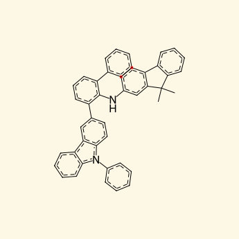 CC1(C)c2ccccc2-c2ccc(Nc3c(-c4ccccc4)cccc3-c3ccc4c(c3)c3ccccc3n4-c3ccccc3)cc21